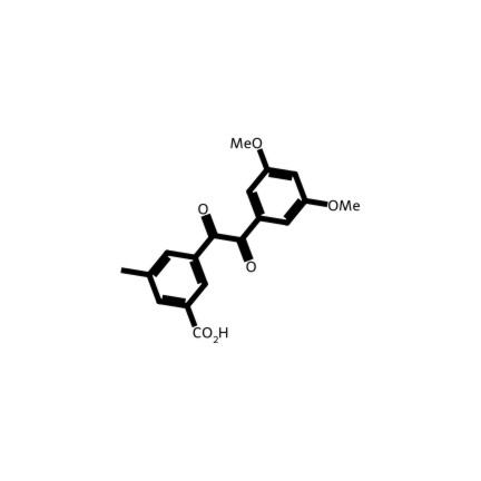 COc1cc(OC)cc(C(=O)C(=O)c2cc(C)cc(C(=O)O)c2)c1